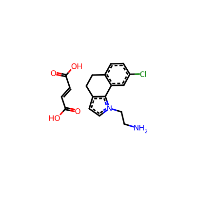 NCCn1ccc2c1-c1cc(Cl)ccc1CC2.O=C(O)/C=C/C(=O)O